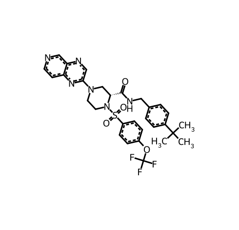 CC(C)(C)c1ccc(CNC(=O)[C@H]2CN(c3cnc4cnccc4n3)CCN2S(=O)(=O)c2ccc(OC(F)(F)F)cc2)cc1